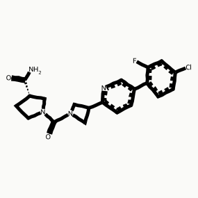 NC(=O)[C@H]1CCN(C(=O)N2CC(c3ccc(-c4ccc(Cl)cc4F)cn3)C2)C1